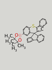 CC1(C)OB(c2ccc3c(c2)C2(c4ccccc4-c4ccccc42)c2ccc4ccccc4c2S3)OC1(C)C